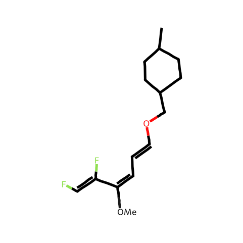 COC(=C/C=C/OCC1CCC(C)CC1)/C(F)=C/F